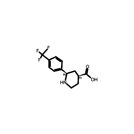 O=C(O)[C@H]1CCN[C@@H](c2ccc(C(F)(F)F)cc2)C1